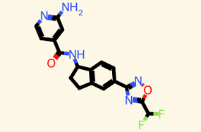 Nc1cc(C(=O)NC2CCc3cc(-c4noc(C(F)F)n4)ccc32)ccn1